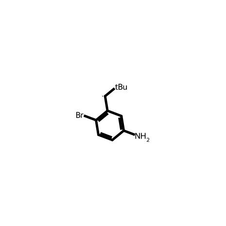 CC(C)(C)[CH]c1cc(N)ccc1Br